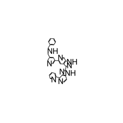 c1ccc(CNCc2cncc(-c3cc4c(-c5nc6c(-c7ccccn7)nccc6[nH]5)n[nH]c4cn3)c2)cc1